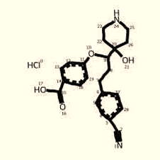 Cl.N#Cc1ccc(CCC(Oc2ccc(C(=O)O)cc2)C2(O)CCNCC2)cc1